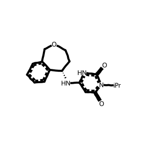 CC(C)n1c(=O)cc(N[C@H]2CCOCc3ccccc32)[nH]c1=O